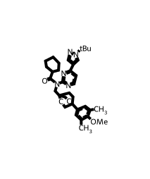 COc1c(C)cc(C23CCC(CN(C(=O)C4CCCCC4)c4nccc(-c5cnn(C(C)(C)C)c5)n4)(CC2)CC3)cc1C